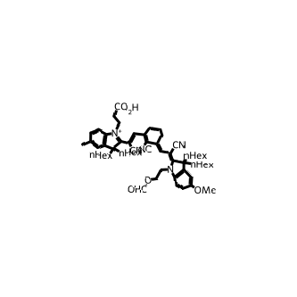 CCCCCCC1(CCCCCC)C(/C(C#N)=C/C2=C(C#N)C(=C/C(C#N)=C3\N(CCOC=O)c4ccc(OC)cc4C3(CCCCCC)CCCCCC)/CC=C2)=[N+](CCC(=O)O)c2ccc(C)cc21